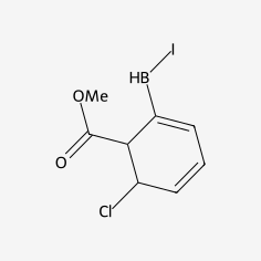 COC(=O)C1C(BI)=CC=CC1Cl